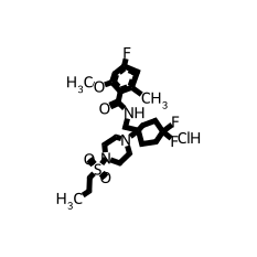 CCCS(=O)(=O)N1CCN(C2(CNC(=O)c3c(C)cc(F)cc3OC)CCC(F)(F)CC2)CC1.Cl